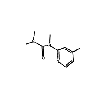 Cc1ccnc(N(C)C(=O)N(C)C)c1